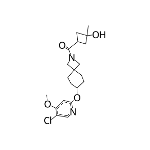 COc1cc(OC2CCC3(CC2)CN(C(=O)C2CC(C)(O)C2)C3)ncc1Cl